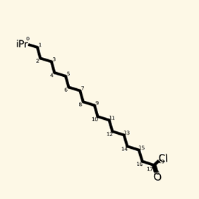 CC(C)CCCCCCCCCCCCCCCCC(=O)Cl